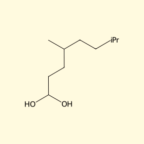 CC(C)CCC(C)CCC(O)O